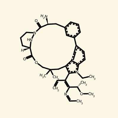 C=C/C(=C(\N=C/C)[C@H](C)OC)c1c2c3cc(ccc3n1CC)-c1cccc(c1)C[C@H](N)C(=O)N1CCC[C@H](N1)C(=O)OCC(C)(C)C2